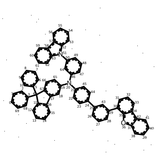 c1ccc(C2(c3ccccc3)c3ccccc3-c3cc(N(c4ccc(-c5cccc(-c6cccc7c6oc6ccccc67)c5)cc4)c4cccc(-n5c6ccccc6c6ccccc65)c4)ccc32)cc1